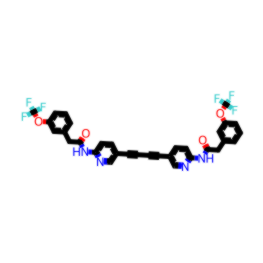 O=C(Cc1cccc(OC(F)(F)F)c1)Nc1ccc(C#CC#Cc2ccc(NC(=O)Cc3cccc(OC(F)(F)F)c3)nc2)cn1